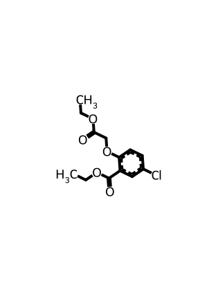 CCOC(=O)COc1ccc(Cl)cc1C(=O)OCC